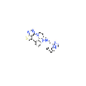 Cn1ccnc1CCNCC1CCN(c2ncnc3scc(-c4ccccc4)c23)CC1